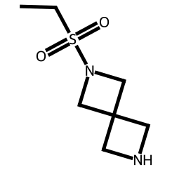 CCS(=O)(=O)N1CC2(CNC2)C1